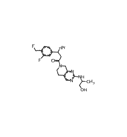 CCCC(CC(=O)N1CCc2cnc(NC(C)CO)nc2C1)c1ccc(CF)c(F)c1